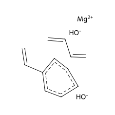 C=CC=C.C=Cc1ccccc1.[Mg+2].[OH-].[OH-]